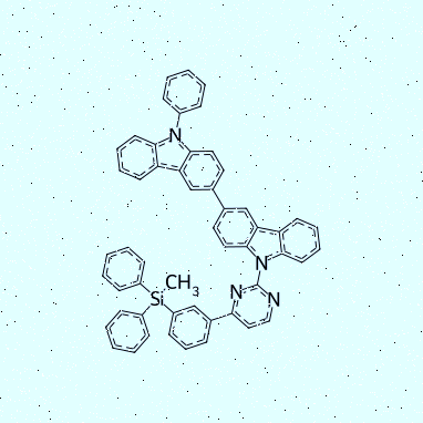 C[Si](c1ccccc1)(c1ccccc1)c1cccc(-c2ccnc(-n3c4ccccc4c4cc(-c5ccc6c(c5)c5ccccc5n6-c5ccccc5)ccc43)n2)c1